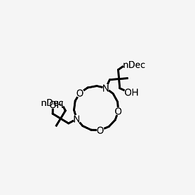 CCCCCCCCCCCC(C)(CO)CN1CCOCCOCCN(CC(C)(CO)CCCCCCCCCCC)CCOCC1